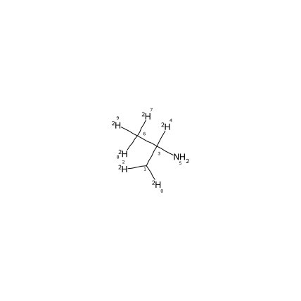 [2H]C([2H])C([2H])(N)C([2H])([2H])[2H]